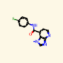 O=C(Nc1ccc(F)cc1)c1ccnc2nc[nH]c12